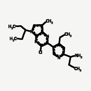 CCc1cc(C(N)CC)ncc1-c1nc2c(C)cn(C(CC)CC)c2nc1Cl